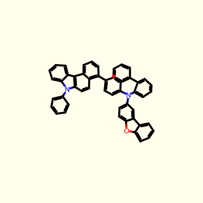 c1ccc(-c2ccccc2N(c2ccc(-c3cccc4c3ccc3c4c4ccccc4n3-c3ccccc3)cc2)c2ccc3oc4ccccc4c3c2)cc1